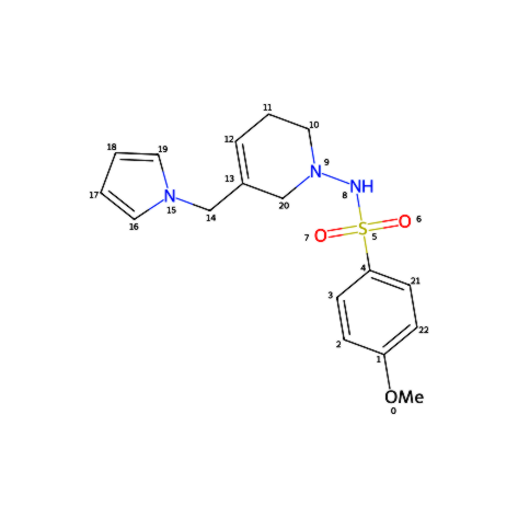 COc1ccc(S(=O)(=O)NN2CCC=C(Cn3cccc3)C2)cc1